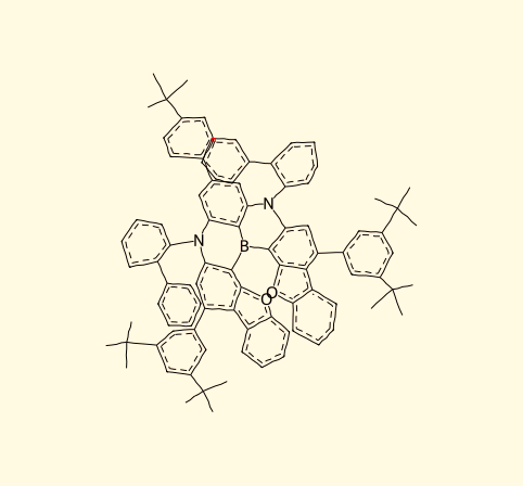 CC(C)(C)c1ccc(-c2cc3c4c(c2)N(c2ccccc2-c2ccccc2)c2cc(-c5cc(C(C)(C)C)cc(C(C)(C)C)c5)c5c(oc6ccccc65)c2B4c2c(cc(-c4cc(C(C)(C)C)cc(C(C)(C)C)c4)c4c2oc2ccccc24)N3c2ccccc2-c2ccccc2)cc1